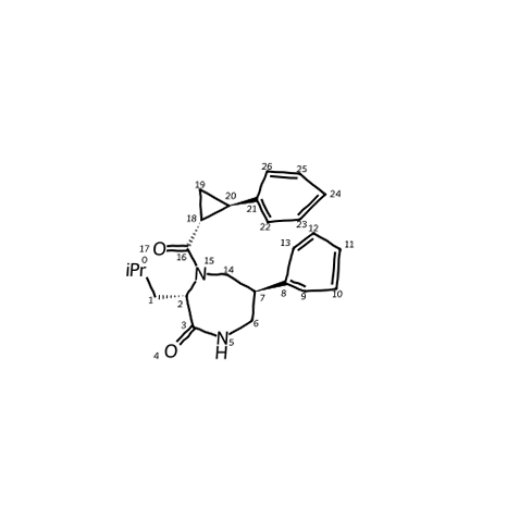 CC(C)C[C@H]1C(=O)NC[C@H](c2ccccc2)CN1C(=O)[C@@H]1C[C@H]1c1ccccc1